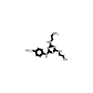 NCCNc1nc(NCCO)nc(Nc2ccc(S(=O)(=O)O)cc2)n1